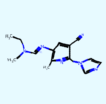 CCN(C)/C=N/c1cc(C#N)c(-n2ccnc2)nc1C